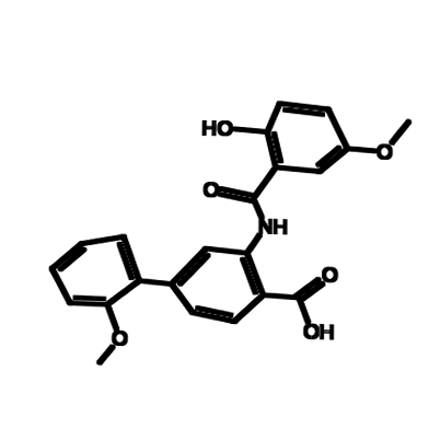 COc1ccc(O)c(C(=O)Nc2cc(-c3ccccc3OC)ccc2C(=O)O)c1